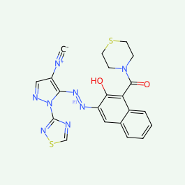 [C-]#[N+]c1cnn(-c2ncsn2)c1/N=N/c1cc2ccccc2c(C(=O)N2CCSCC2)c1O